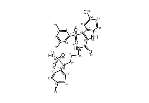 Cc1cc(C)cc(S(=O)(=O)c2c(C(=O)NCCCN(c3ccc(F)cc3)S(=O)(=O)O)[nH]c3ccc(Cl)cc23)c1